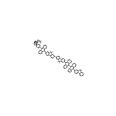 CCCOc1ccc(-c2c3ccccc3c(-c3ccc4c(c3)C(C)(C)c3cc(-c5ccc6c(c5)C(C)(C)c5cc(-c7c8ccccc8c(-c8c9ccccc9c(-c9ccc%10c(c9)C(C)(C)c9ccccc9-%10)c9ccccc89)c8ccccc78)ccc5-6)ccc3-4)c3ccccc23)cc1